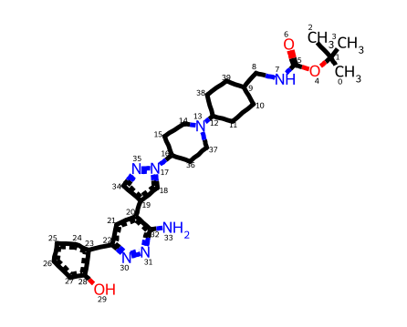 CC(C)(C)OC(=O)NCC1CCC(N2CCC(n3cc(-c4cc(-c5ccccc5O)nnc4N)cn3)CC2)CC1